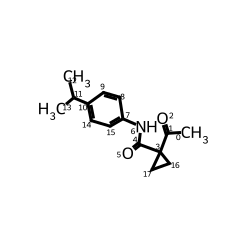 CC(=O)C1(C(=O)Nc2ccc(C(C)C)cc2)CC1